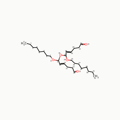 CCCCCCCCOC(C=CCCC=O)OC(C=CCCC=O)OCCCCCCCC